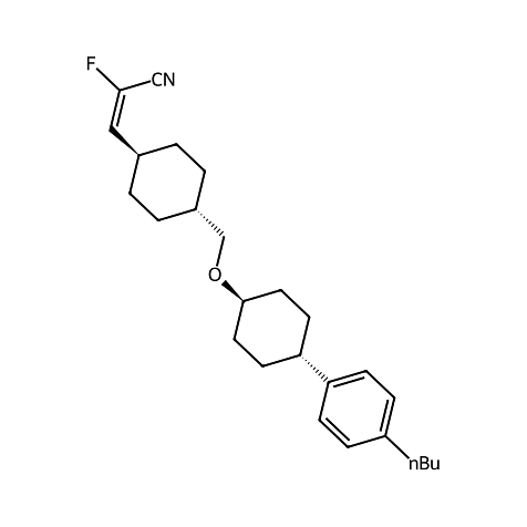 CCCCc1ccc([C@H]2CC[C@H](OC[C@H]3CC[C@H](/C=C(/F)C#N)CC3)CC2)cc1